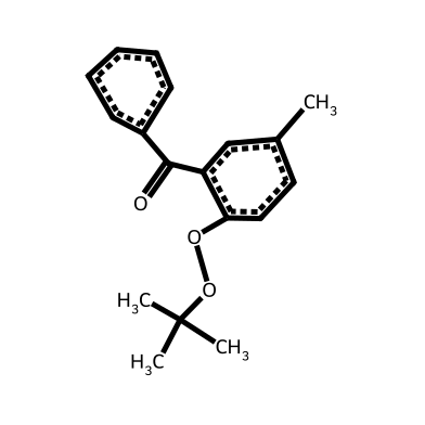 Cc1ccc(OOC(C)(C)C)c(C(=O)c2ccccc2)c1